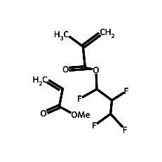 C=C(C)C(=O)OC(F)C(F)C(F)F.C=CC(=O)OC